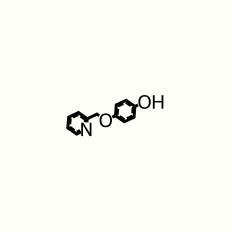 Oc1ccc(OCc2ccccn2)cc1